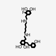 Oc1cccc(CCc2c(CCNCCCCCCNCCc3ccc(O)c(O)c3F)ccc(O)c2O)c1